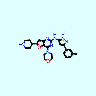 Cc1cccc(-c2cc(Nc3nc(N4CCOCC4)c4oc(C5CCN(C)CC5)cc4n3)[nH]n2)c1